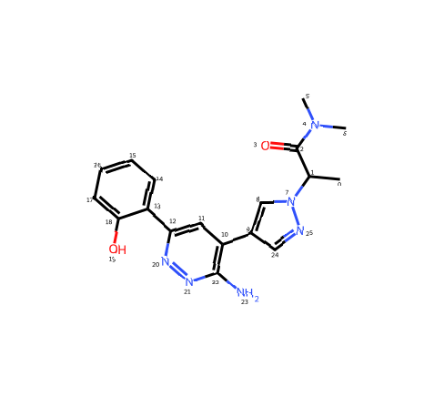 CC(C(=O)N(C)C)n1cc(-c2cc(-c3ccccc3O)nnc2N)cn1